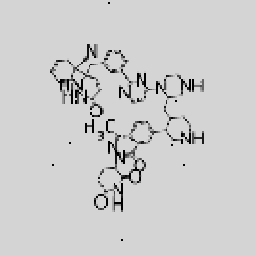 Cc1nn(C2CCC(=O)NC2=O)c(=O)c2cc(C3CNCCC3CC3CNCCN3c3ccnc(-c4cccc(CC5(C6(C#N)C=CC=CC6)C=CC(=O)NN5)c4)n3)ccc12